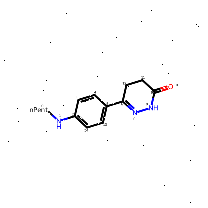 CCCCCNc1ccc(C2=NNC(=O)CC2)cc1